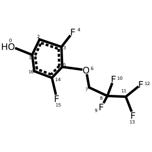 Oc1cc(F)c(OCC(F)(F)C(F)F)c(F)c1